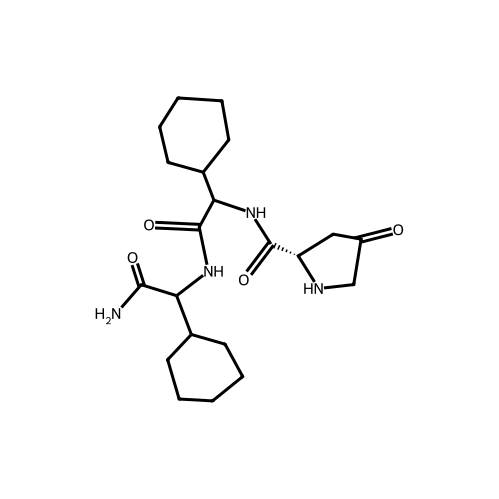 NC(=O)C(NC(=O)C(NC(=O)[C@@H]1CC(=O)CN1)C1CCCCC1)C1CCCCC1